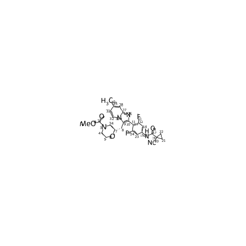 COC(=O)N1CCO[C@@H](Cc2c(-c3c(F)cc(NC(=O)C4(C#N)CC4)cc3F)nc3cc(C)ccn23)C1